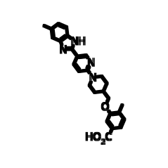 Cc1ccc2[nH]c(-c3ccc(N4CCC(COc5cc(C(=O)O)ccc5C)CC4)nc3)nc2c1